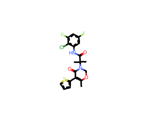 CC1=C(c2cccs2)C(=O)N(C(C)(C)C(=O)Nc2cc(F)cc(F)c2Cl)CO1